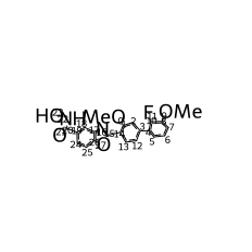 COc1cc(-c2cccc(OC)c2F)ccc1-c1nc2cc(C(=O)NO)ccc2o1